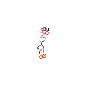 CC(C)(C)OC(=O)N1CC=C(c2ccc3c(c2)CS(=O)(=O)C3)CC1